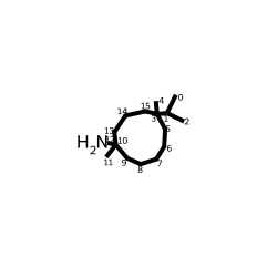 CC(C)C1(C)CCCCCC(C)(N)CCC1